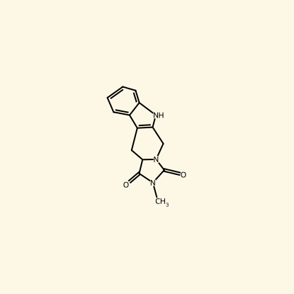 CN1C(=O)C2Cc3c([nH]c4ccccc34)CN2C1=O